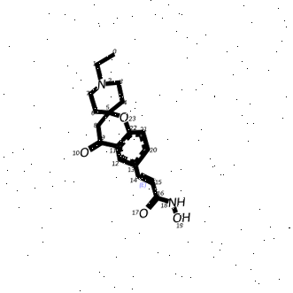 CCN1CCC2(CC1)CC(=O)c1cc(/C=C/C(=O)NO)ccc1O2